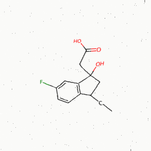 CCC1CC(O)(CC(=O)O)c2cc(F)ccc21